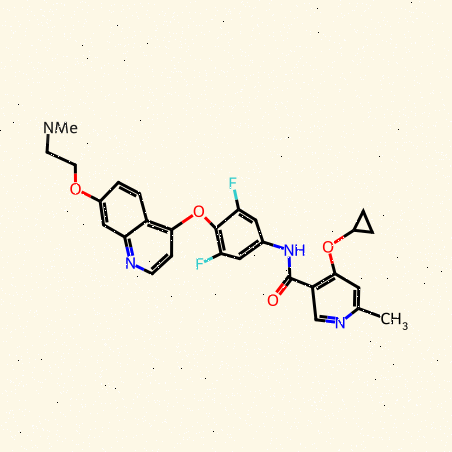 CNCCOc1ccc2c(Oc3c(F)cc(NC(=O)c4cnc(C)cc4OC4CC4)cc3F)ccnc2c1